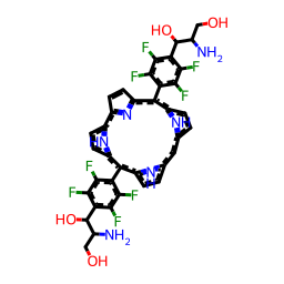 NC(CO)C(O)c1c(F)c(F)c(-c2c3nc(c4ccc([nH]4)c(-c4c(F)c(F)c(C(O)C(N)CO)c(F)c4F)c4ccc(cc5ccc2[nH]5)[nH]4)C=C3)c(F)c1F